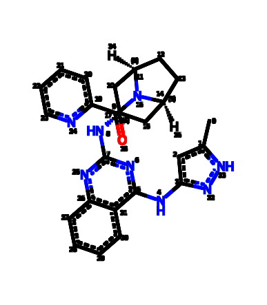 Cc1cc(Nc2nc(N[C@@H]3C[C@H]4CC[C@@H](C3)N4C(=O)c3ccccn3)nc3ccccc23)n[nH]1